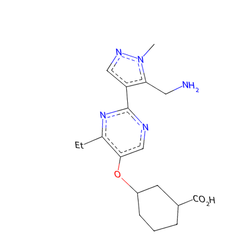 CCc1nc(-c2cnn(C)c2CN)ncc1OC1CCCC(C(=O)O)C1